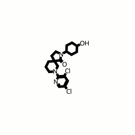 O=C1N(C2CCC(O)CC2)CCC12CCCN(c1ncc(Cl)cc1Cl)C2